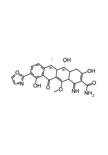 COC1=C2C(=O)c3c(ccc(-c4ncco4)c3O)[C@H](C)C2[C@H](O)C2CC(O)=C(C(N)=O)C(=N)C12